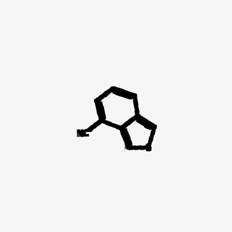 N#Cc1cccc2cs[c]c12